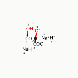 O=C(O)O.O=C([O-])[O-].[H+].[Na+].[NaH]